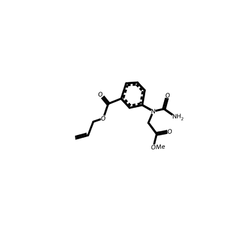 C=CCOC(=O)c1cccc(N(CC(=O)OC)C(N)=O)c1